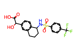 O=C(O)C(O)c1ccc2c(c1)CCCC2NS(=O)(=O)c1ccc(C(F)(F)F)cc1